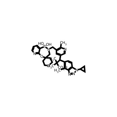 Cc1ncc(C(c2ccc3c(nnn3C3CC3)c2C)C(C)(C)C(=O)O)cc1CN1CC2(CCOCC2)Oc2ncccc2S1(O)O